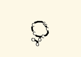 O=C(Cl)OC1CCCCCCCCCCCCCC1